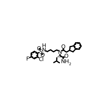 CC(C)C[C@@H](C(N)=O)N(CCCCNS(=O)(=O)c1ccc(F)cc1Cl)C(=O)CC1Cc2ccccc2C1